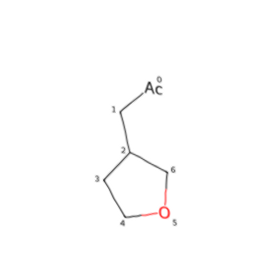 CC(=O)CC1CCOC1